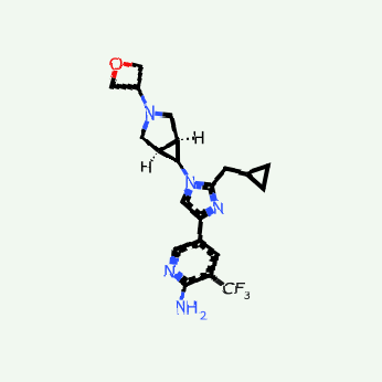 Nc1ncc(-c2cn(C3[C@H]4CN(C5COC5)C[C@@H]34)c(CC3CC3)n2)cc1C(F)(F)F